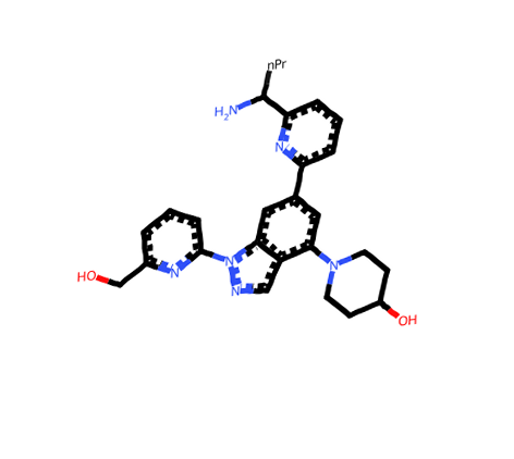 CCCC(N)c1cccc(-c2cc(N3CCC(O)CC3)c3cnn(-c4cccc(CO)n4)c3c2)n1